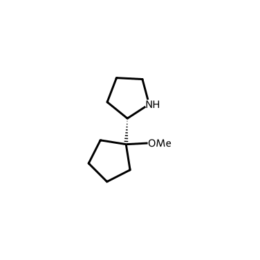 COC1([C@@H]2CCCN2)CCCC1